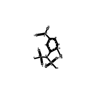 CS(=O)(=O)N(c1cc([N+](=O)[O-])ccc1Cl)S(C)(=O)=O